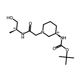 C[C@@H](CO)NC(=O)CN1CCC[C@@H](NC(=O)OC(C)(C)C)C1